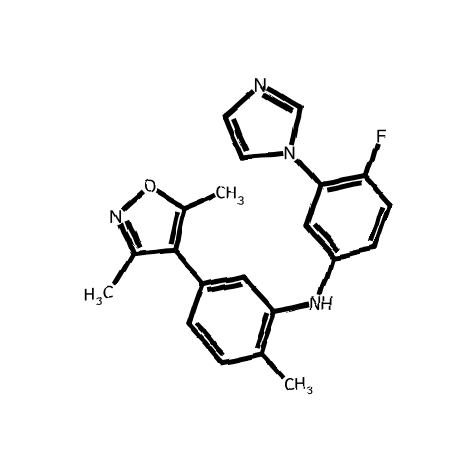 Cc1ccc(-c2c(C)noc2C)cc1Nc1ccc(F)c(-n2ccnc2)c1